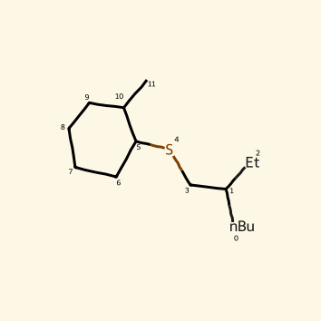 CCCCC(CC)CSC1CCCCC1C